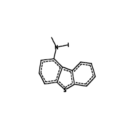 CN(I)c1cccc2sc3ccccc3c12